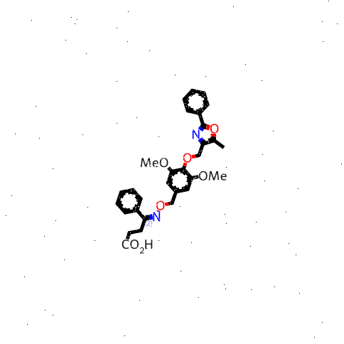 COc1cc(CO/N=C(/CCC(=O)O)c2ccccc2)cc(OC)c1OCc1nc(-c2ccccc2)oc1C